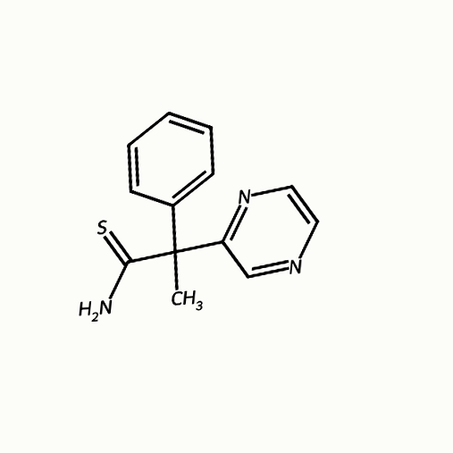 CC(C(N)=S)(c1ccccc1)c1cnccn1